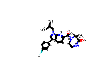 CC(C)Cn1cc(-c2ccc(F)cc2)c2ccc(C(=O)N3CCNC(=O)C3(C)C)nc21